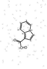 O=CC(=O)c1ccn2ccccc12